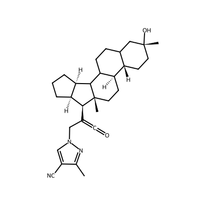 Cc1nn(CC(=C=O)[C@H]2[C@H]3CCC[C@H]3C3C4CCC5C[C@](C)(O)CC[C@@H]5[C@H]4CC[C@@]32C)cc1C#N